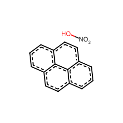 O=[N+]([O-])O.c1cc2ccc3cccc4ccc(c1)c2c34